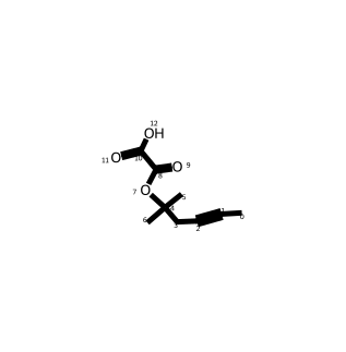 CC#CCC(C)(C)OC(=O)C(=O)O